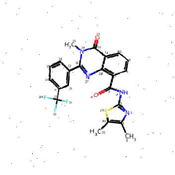 Cc1nc(NC(=O)c2cccc3c(=O)n(C)c(-c4cccc(C(F)(F)F)c4)nc23)sc1C